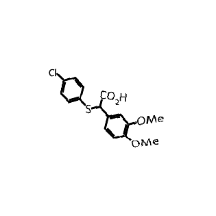 COc1ccc(C(Sc2ccc(Cl)cc2)C(=O)O)cc1OC